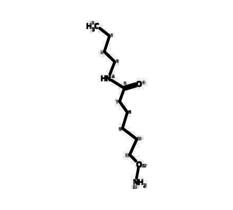 CCCCNC(=O)CCCCCON